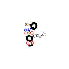 CCOC(=O)C1=CC2(CCC1S(=O)(=O)Nc1ccccc1Br)OCCO2